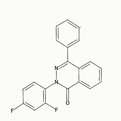 O=c1c2ccccc2c(-c2c[c]ccc2)nn1-c1ccc(F)cc1F